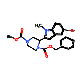 Cn1c(C2CN(C(=O)OC(C)(C)C)CCN2C(=O)OCc2ccccc2)cc2cc(Br)ccc21